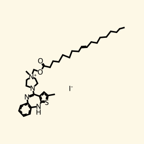 CCCCCCCCC=CCCCCCCCC(=O)OC[N+]1(C)CCN(C2=Nc3ccccc3Nc3sc(C)cc32)CC1.[I-]